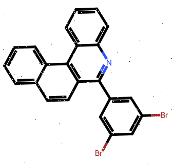 Brc1cc(Br)cc(-c2nc3ccccc3c3c2ccc2ccccc23)c1